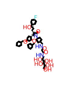 O=C(CC(=O)NC[C@H](O)[C@@H](O)[C@H](O)[C@H](O)CO)NCc1ccc(N2C(=O)[C@H](CC[C@H](O)c3ccc(F)cc3)[C@H]2c2ccc(OCc3ccccc3)cc2OCc2ccccc2)cc1